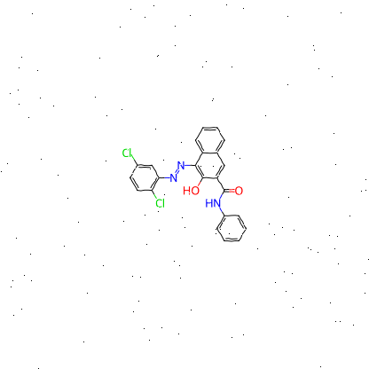 O=C(Nc1ccccc1)c1cc2ccccc2c(/N=N/c2cc(Cl)ccc2Cl)c1O